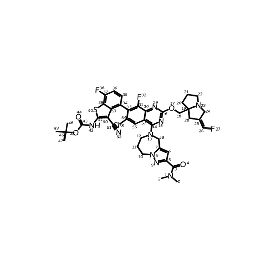 CN(C)C(=O)c1cc2n(n1)CCCN(c1nc(OCC34CCCN3C/C(=C\F)C4)nc3c(F)c(-c4ccc(F)c5sc(NC(=O)OC(C)(C)C)c(C#N)c45)c(Cl)cc13)C2